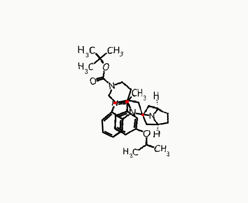 Cc1nc2ccccc2n1C1C[C@H]2CC[C@@H](C1)N2CCC1(c2cccc(OC(C)C)c2)CCN(C(=O)OC(C)(C)C)CC1